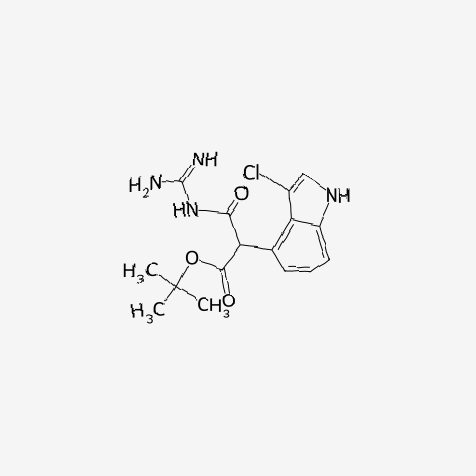 CC(C)(C)OC(=O)C(C(=O)NC(=N)N)c1cccc2[nH]cc(Cl)c12